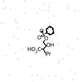 CC(C)C(C(=O)O)C(O)COS(=O)(=O)c1ccccc1